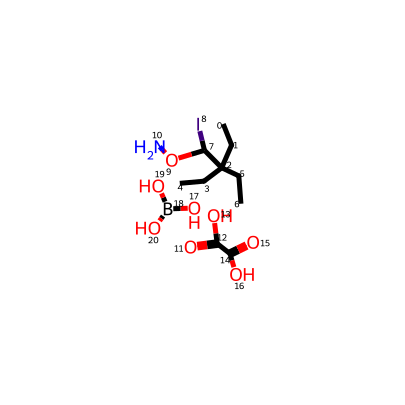 CCC(CC)(CC)C(I)ON.O=C(O)C(=O)O.OB(O)O